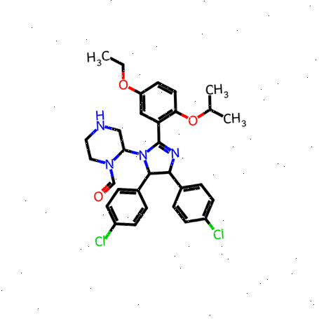 CCOc1ccc(OC(C)C)c(C2=NC(c3ccc(Cl)cc3)C(c3ccc(Cl)cc3)N2C2CNCCN2C=O)c1